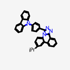 CC(C)c1ccc2c(c1)c1ccccc1c1nnc(-c3ccc(-n4c5ccccc5c5ccccc54)cc3)n21